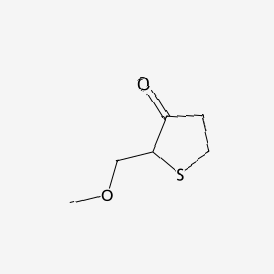 COCC1SCCC1=O